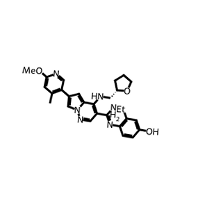 CCc1cc(O)ccc1/N=C(\N)c1cnn2cc(-c3cnc(OC)cc3C)cc2c1NC[C@@H]1CCCO1